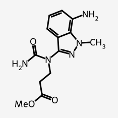 COC(=O)CCN(C(N)=O)c1nn(C)c2c(N)cccc12